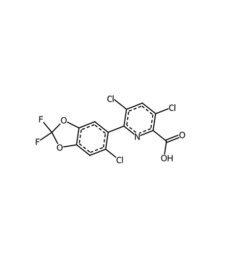 O=C(O)c1nc(-c2cc3c(cc2Cl)OC(F)(F)O3)c(Cl)cc1Cl